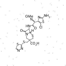 CON=C(C(=O)NC1C(=O)N2CC(CSc3nncs3)(C(=O)O)CS[C@H]12)c1nc(N)sc1Cl